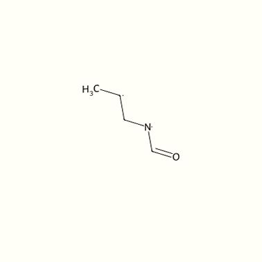 C[CH]C[N]C=O